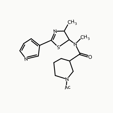 CC(=O)N1CCCC(C(=O)N(C)C2SC(c3cccnc3)=NC2C)C1